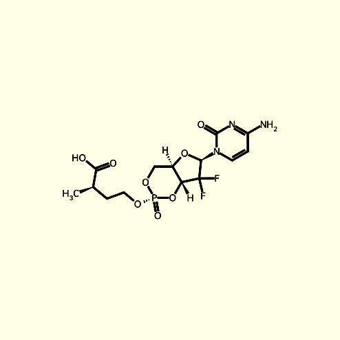 C[C@H](CCO[P@]1(=O)OC[C@H]2O[C@@H](n3ccc(N)nc3=O)C(F)(F)[C@@H]2O1)C(=O)O